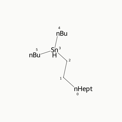 CCCCCCCC[CH2][SnH]([CH2]CCC)[CH2]CCC